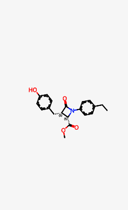 CCc1ccc(N2C(=O)[C@@H](Cc3ccc(O)cc3)[C@H]2C(=O)OC)cc1